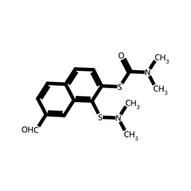 CN(C)Sc1c(SC(=O)N(C)C)ccc2ccc(C=O)cc12